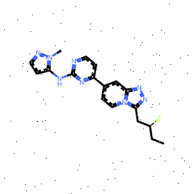 CC[C@H](F)Cc1nnc2cc(-c3ccnc(Nc4ccnn4C)n3)ccn12